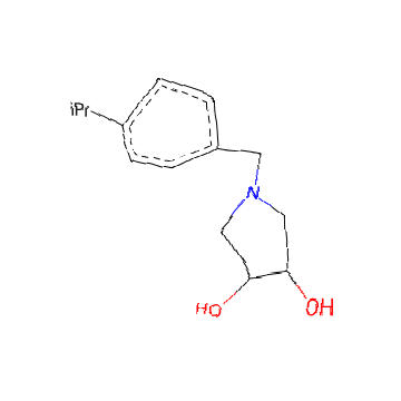 CC(C)c1ccc(CN2CC(O)C(O)C2)cc1